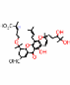 CC(C)=CCc1c2c(c(O)c3c1OC1C(=CC(C=O)CC1C(C)(C)OCC/C=C(/C)C(=O)O)C3=O)C=C[C@@](C)(CCC(O)C(C)(C)O)O2